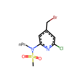 CCCN(c1cc(CBr)cc(Cl)n1)S(C)(=O)=O